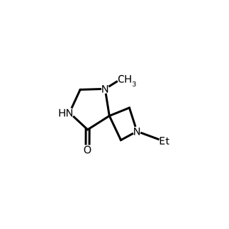 CCN1CC2(C1)C(=O)NCN2C